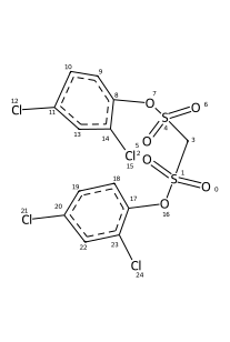 O=S(=O)(CS(=O)(=O)Oc1ccc(Cl)cc1Cl)Oc1ccc(Cl)cc1Cl